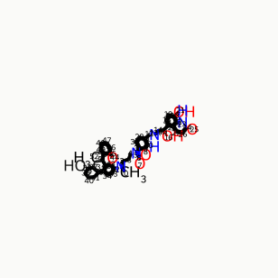 CN(CCCn1c(=O)oc2cc(CNC[C@H](O)c3ccc(O)c4[nH]c(=O)ccc34)ccc21)c1ccc(C2CCCCC2)c2c1Oc1ccccc1C2(C)C(=O)O